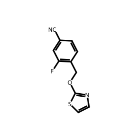 N#Cc1ccc(COc2n[c]cs2)c(F)c1